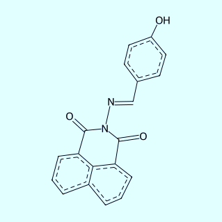 O=C1c2cccc3cccc(c23)C(=O)N1/N=C/c1ccc(O)cc1